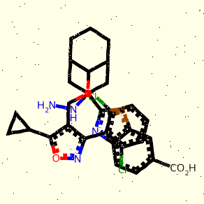 NNC1(c2nc3ccc(C(=O)O)cc3s2)CC2CCCC(C1)C2OCc1c(-c2c(Cl)cccc2Cl)noc1C1CC1